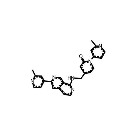 Cc1cc(-c2cc3ccnc(NCc4ccn(-c5ccnc(C)c5)c(=O)c4)c3cn2)ccn1